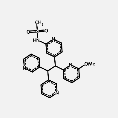 COc1cccc(C(c2ccnc(NS(C)(=O)=O)c2)C(c2cccnc2)c2cccnc2)n1